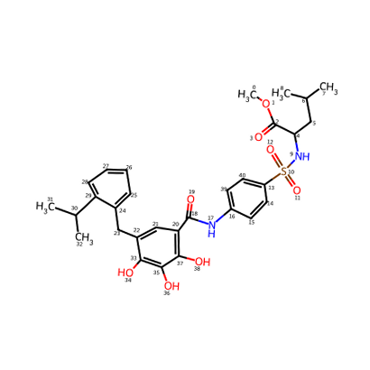 COC(=O)C(CC(C)C)NS(=O)(=O)c1ccc(NC(=O)c2cc(Cc3ccccc3C(C)C)c(O)c(O)c2O)cc1